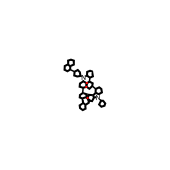 c1ccc(-n2c3ccccc3c3c(-c4cccc(-c5ccccc5N(c5ccc(-c6ccc7c(ccc8ccccc87)c6)cc5)c5ccc(-c6cccc7ccccc67)cc5)c4)cccc32)cc1